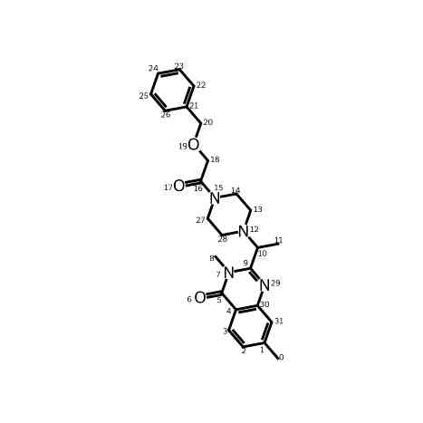 Cc1ccc2c(=O)n(C)c(C(C)N3CCN(C(=O)COCc4ccccc4)CC3)nc2c1